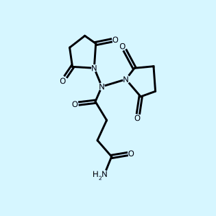 NC(=O)CCC(=O)N(N1C(=O)CCC1=O)N1C(=O)CCC1=O